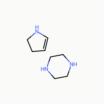 C1=CNCC1.C1CNCCN1